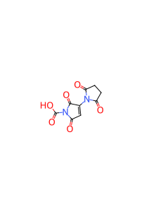 O=C(O)N1C(=O)C=C(N2C(=O)CCC2=O)C1=O